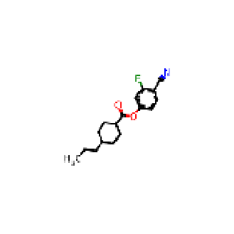 CCCC1CCC(C(=O)Oc2ccc(C#N)c(F)c2)CC1